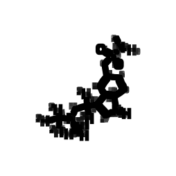 [2H]N(C)S(=O)(=O)Cc1ccc2c(c1)c(C([2H])([2H])CN(C([2H])([2H])[2H])C([2H])([2H])[2H])cn2[2H]